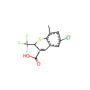 Cc1cc(Cl)cc2c1SC(C(F)(F)F)C(C(=O)O)=C2